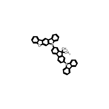 CC1(C)c2cc(-n3c4ccccc4c4ccccc43)ccc2-c2ccc(-n3c4ccccc4c4cc5c(cc43)oc3ccccc35)cc21